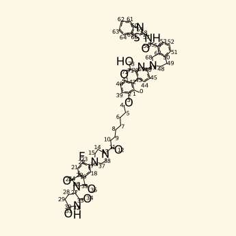 Cc1c(OCCCCCCCC(=O)N2CCN(c3cc4c(cc3F)C(=O)N(C3CCC(=O)NC3=O)C4=O)CC2)cccc1-c1ccc(N2CCc3cccc(C(=O)Nc4nc5ccccc5s4)c3C2)nc1C(=O)O